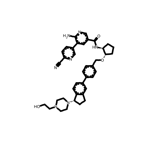 N#Cc1ccc(-c2cc(C(=O)N[C@H]3CCC[C@@H]3OCc3ccc(-c4ccc5c(c4)CC[C@@H]5N4CCN(CCO)CC4)cc3)cnc2N)cn1